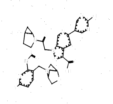 CC(=O)c1nn(CC(=O)N2C3C[C@]3(C)C[C@H]2C(=O)Nc2nc(Br)ccc2CN2CC3CC2CO3)c2cnc(-c3cnc(C)nc3)cc12